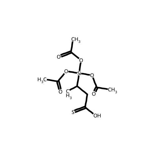 CC(=O)O[Si](OC(C)=O)(OC(C)=O)C(C)CC(O)=S